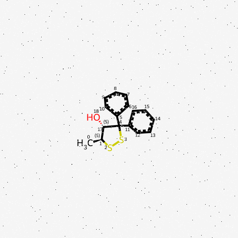 C[C@@H]1SSC(c2ccccc2)(c2ccccc2)[C@H]1O